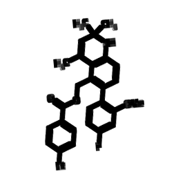 CCc1ccc(C(=O)OCc2c(-c3ccc(F)cc3OC)ccc3c2C(C)=CC(C)(C)N3)cc1